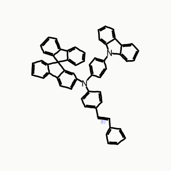 C(=C\c1ccc(N(c2ccc(-n3c4ccccc4c4ccccc43)cc2)c2ccc3c(c2)C2(c4ccccc4-c4ccccc42)c2ccccc2-3)cc1)/c1ccccc1